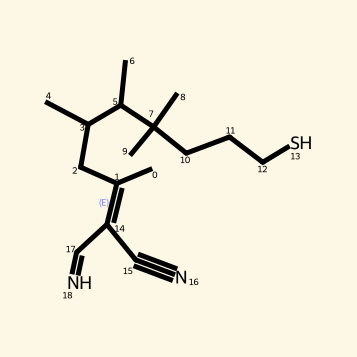 C/C(CC(C)C(C)C(C)(C)CCCS)=C(\C#N)C=N